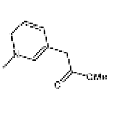 COC(=O)CC1=CN(C)CC=C1